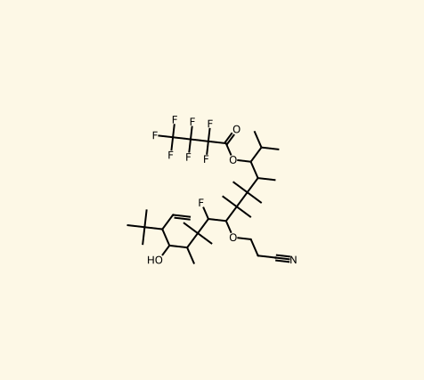 C=CC(C(O)C(C)C(C)(C)C(F)C(OCCC#N)C(C)(C)C(C)(C)C(C)C(OC(=O)C(F)(F)C(F)(F)C(F)(F)F)C(C)C)C(C)(C)C